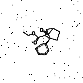 CCOC(=O)C1=CC2CC[C@@]1(c1ccccc1)C2=O